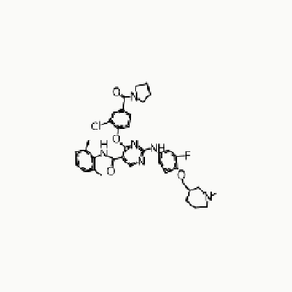 Cc1cccc(C)c1NC(=O)c1cnc(Nc2ccc(OCC3CCCN(C)C3)c(F)c2)nc1Oc1ccc(C(=O)N2CCCC2)cc1Cl